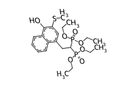 CCOP(=O)(OCC)C(Cc1cc(SC)c(O)c2ccccc12)P(=O)(OCC)OCC